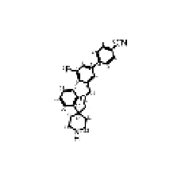 N#Cc1ccc(-c2cc(F)cc(COCC3(c4ccccc4)CCNCC3)c2)cc1